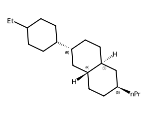 CCC[C@H]1CC[C@@H]2C[C@H](C3CCC(CC)CC3)CC[C@H]2C1